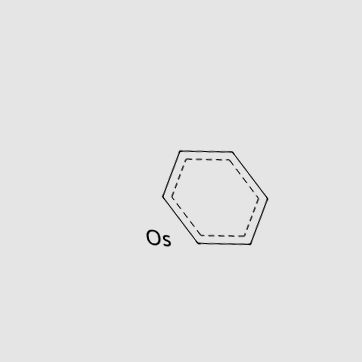 [Os].c1ccccc1